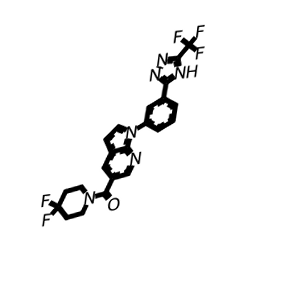 O=C(c1cnc2c(ccn2-c2cccc(-c3nnc(C(F)(F)F)[nH]3)c2)c1)N1CCC(F)(F)CC1